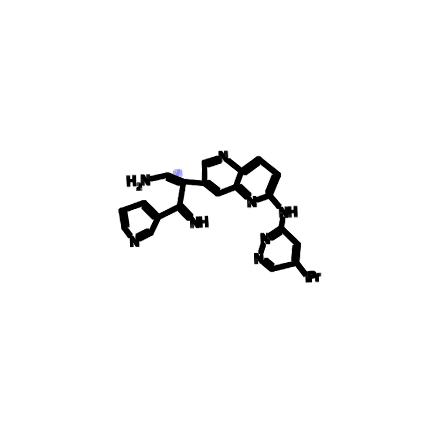 CC(C)c1cnnc(Nc2ccc3ncc(/C(=C/N)C(=N)c4cccnc4)cc3n2)c1